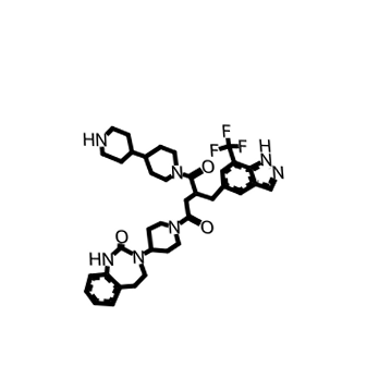 O=C(CC(Cc1cc(C(F)(F)F)c2[nH]ncc2c1)C(=O)N1CCC(C2CCNCC2)CC1)N1CCC(N2CCc3ccccc3NC2=O)CC1